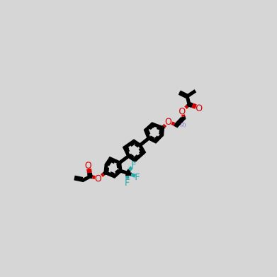 C=CC(=O)Oc1ccc(-c2ccc(-c3ccc(O/C=C\OC(=O)C(=C)C)cc3)cc2)c(C(F)(F)F)c1